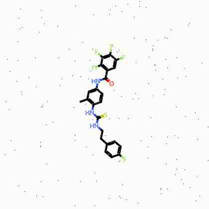 Cc1cc(NC(=O)c2cc(F)c(F)c(F)c2F)ccc1NC(=S)NCCc1ccc(F)cc1